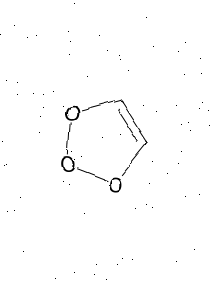 C1=COOO1